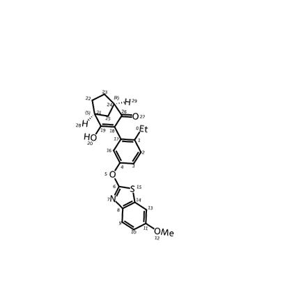 CCc1ccc(Oc2nc3ccc(OC)cc3s2)cc1C1=C(O)[C@H]2CC[C@H](C2)C1=O